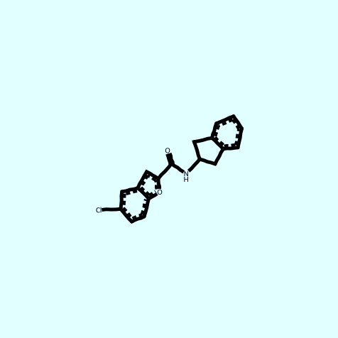 O=C(NC1Cc2ccccc2C1)c1cc2cc(Cl)ccc2o1